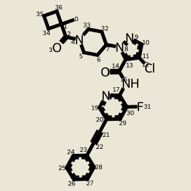 CC1(C(=O)N2CCC(n3ncc(Cl)c3C(=O)Nc3ncc(C#Cc4ccccc4)cc3F)CC2)CCC1